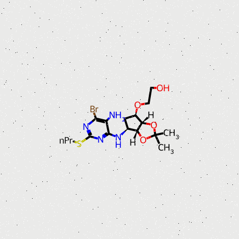 CCCSc1nc(Br)c(N)c(N[C@H]2C[C@@H](OCCO)[C@@H]3OC(C)(C)O[C@@H]32)n1